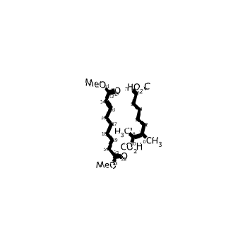 CC(CCCCCC(=O)O)=C(C)C(=O)O.COC(=O)C=CCCCCCC(=O)OC